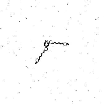 C=COCCCCCCOc1ccnc(OCCCCCCOC=C)c1